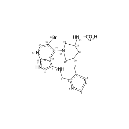 Cc1cccnc1CNc1c[nH]c2ncc(Br)c(N3CCCC(NC(=O)O)C3)c12